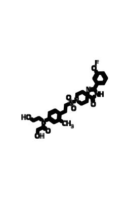 Cc1cc(N(CCO)C(=O)CO)ccc1CCS(=O)(=O)N1CCC2(CC1)N=C(c1cccc(OF)c1)NC2=O